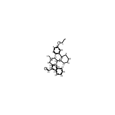 CCOc1cccc(C2CCCCN2C2CN(C)Cc3c(C=O)c4ccccc4n32)c1